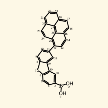 OB(O)c1ccc2sc3ccc(-c4ccc5ccc6cccc7ccc4c5c67)cc3c2c1